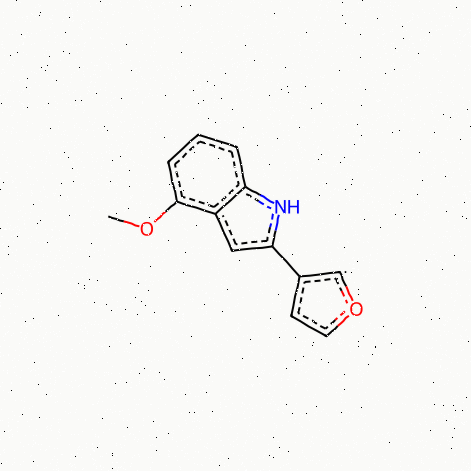 COc1cccc2[nH]c(-c3[c]occ3)cc12